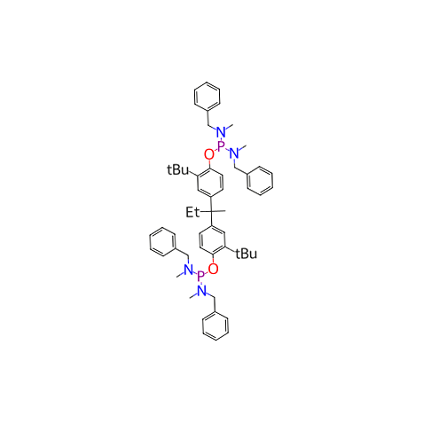 CCC(C)(c1ccc(OP(N(C)Cc2ccccc2)N(C)Cc2ccccc2)c(C(C)(C)C)c1)c1ccc(OP(N(C)Cc2ccccc2)N(C)Cc2ccccc2)c(C(C)(C)C)c1